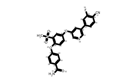 CS(=O)(=O)c1cc(Oc2cncc(-c3ccc(C#N)c(F)c3)c2)ccc1Oc1ccc(C(N)=O)cc1